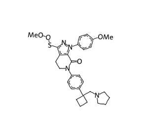 COOSc1nn(-c2ccc(OC)cc2)c2c1CCN(c1ccc(C3(CN4CCCC4)CCC3)cc1)C2=O